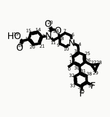 Cc1cc(CN2CCC3(CC2)CN(c2ccc(C(=O)O)cc2)C(=O)O3)cc(C2CC2)c1-c1ccc(F)c(F)c1